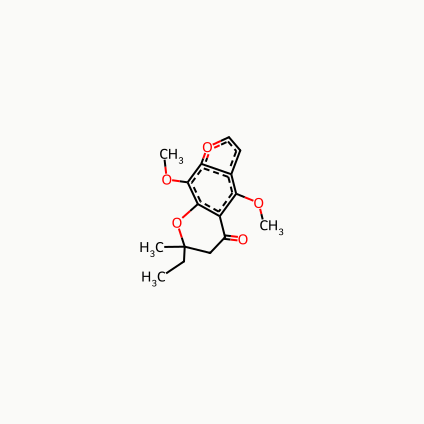 CCC1(C)CC(=O)c2c(c(OC)c3occc3c2OC)O1